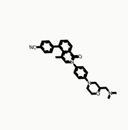 Cc1cn(-c2ccc(N3CCOC(CN(C)C)C3)cc2)c(=O)c2cccc(-c3ccc(C#N)cc3)c12